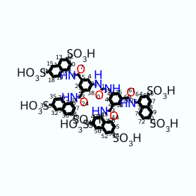 O=C(Nc1cc(C(=O)Nc2cc(S(=O)(=O)O)cc3cc(S(=O)(=O)O)ccc23)cc(C(=O)Nc2cc(S(=O)(=O)O)cc3cc(S(=O)(=O)O)ccc23)c1)Nc1cc(C(=O)Nc2cc(S(=O)(=O)O)cc3cc(S(=O)(=O)O)ccc23)cc(C(=O)Nc2cc(S(=O)(=O)O)cc3cc(S(=O)(=O)O)ccc23)c1